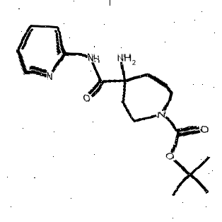 CC(C)(C)OC(=O)N1CCC(N)(C(=O)Nc2ccccn2)CC1